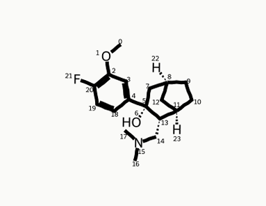 COc1cc([C@@]2(O)C[C@H]3CC[C@H](C3)[C@@H]2CN(C)C)ccc1F